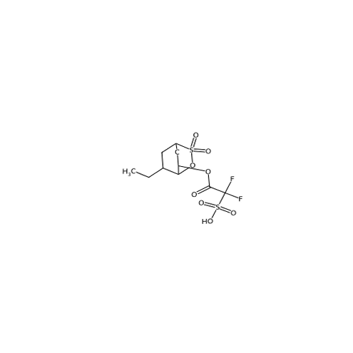 CCC1CC2CC(OC(=O)C(F)(F)S(=O)(=O)O)C1OS2(=O)=O